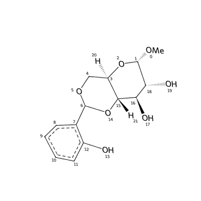 CO[C@H]1O[C@@H]2COC(c3ccccc3O)O[C@H]2[C@H](O)[C@H]1O